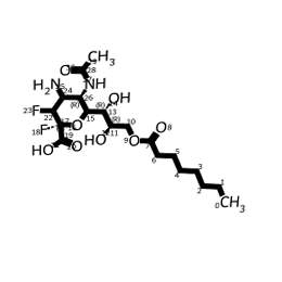 CCCCCCCC(=O)OC[C@@H](O)[C@@H](O)C1O[C@@](F)(C(=O)O)C(F)C(N)[C@H]1NC(C)=O